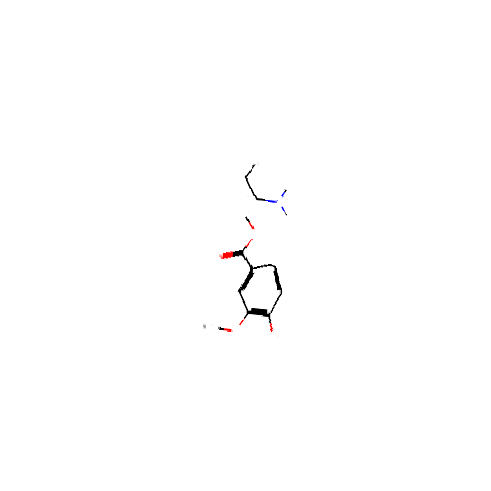 CCCOc1cc(C(=O)OC[C@H](CC(C)C)N(CC)CC)ccc1O